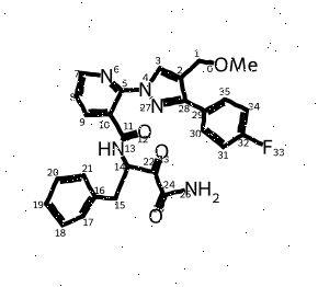 COCc1cn(-c2ncccc2C(=O)NC(Cc2ccccc2)C(=O)C(N)=O)nc1-c1ccc(F)cc1